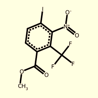 COC(=O)c1ccc(I)c([N+](=O)[O-])c1C(F)(F)F